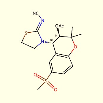 CC(=O)O[C@@H]1[C@@H](N2CCSC2=NC#N)c2cc(S(C)(=O)=O)ccc2OC1(C)C